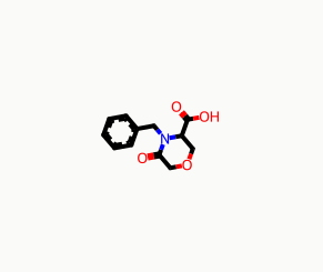 O=C(O)C1COCC(=O)N1Cc1ccccc1